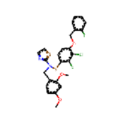 COc1ccc(CN(Sc2ccc(OCc3ccccc3F)c(Cl)c2F)c2nccs2)c(OC)c1